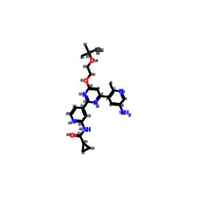 Cc1ncc(N)cc1-c1cc(OCCO[Si](C)(C)C(C)(C)C)nc(-c2ccnc(NC(=O)C3CC3)c2)n1